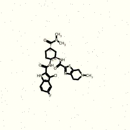 CN1CCc2nc(C(=O)N[C@@H]3C[C@@H](C(=O)N(C)C)CC[C@@H]3NC(=O)c3[nH]c4ccc(F)cc4c3Cl)sc2C1